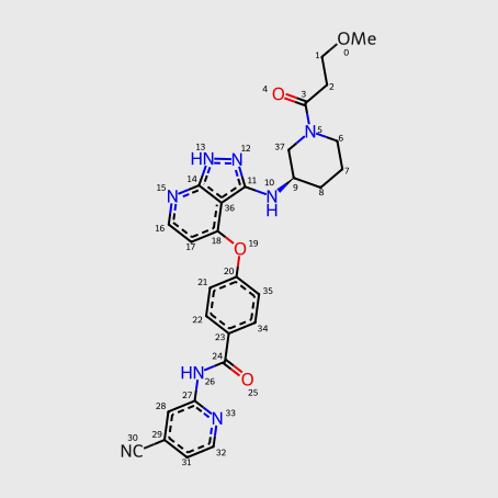 COCCC(=O)N1CCC[C@@H](Nc2n[nH]c3nccc(Oc4ccc(C(=O)Nc5cc(C#N)ccn5)cc4)c23)C1